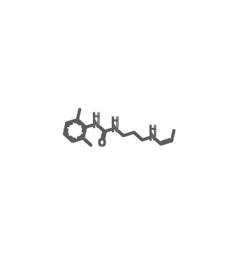 C/C=C\NCCCNC(=O)Nc1c(C)cccc1C